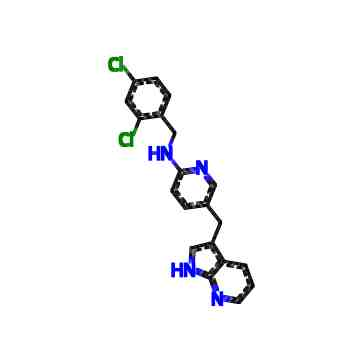 Clc1ccc(CNc2ccc(Cc3c[nH]c4ncccc34)cn2)c(Cl)c1